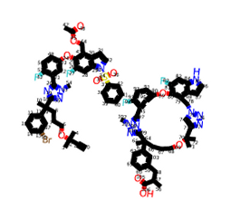 C#CC(C)(C)OCCCC(C)(c1cccc(Br)c1)c1nc(-c2cc(Oc3c(F)cc4c(ccn4S(=O)(=O)c4ccccc4)c3COC(C)=O)ccc2F)n(C)n1.CC(Cc1cccc(C2(C)CCCOC(C)(C)c3cn(nn3)Cc3c(c(F)cc4[nH]ccc34)Oc3ccc(F)c(c3)-c3nc2nn3C)c1)C(=O)O